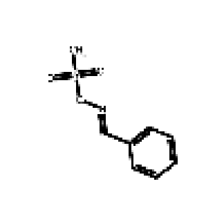 CS(=O)(=O)ON=Cc1ccccc1